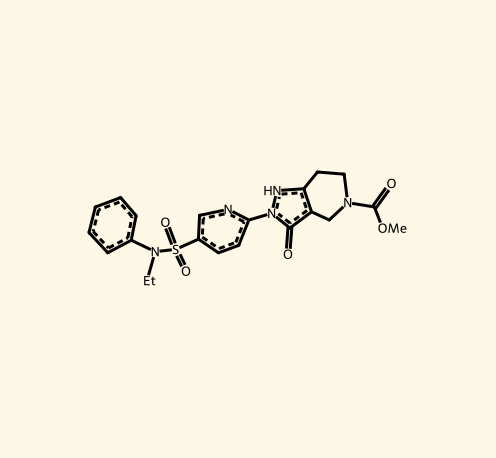 CCN(c1ccccc1)S(=O)(=O)c1ccc(-n2[nH]c3c(c2=O)CN(C(=O)OC)CC3)nc1